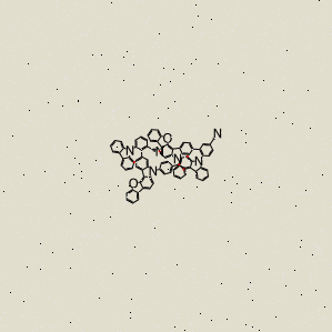 N#Cc1ccc(-n2c3ccccc3c3cc(-c4ccc(-n5c6cc(-c7c(C#N)cccc7-n7c8ccccc8c8ccccc87)ccc6c6c7oc8ccccc8c7ccc65)cc4)ccc32)c(-c2ccc3c4c5oc6ccccc6c5ccc4n(-c4ccccc4)c3c2)c1